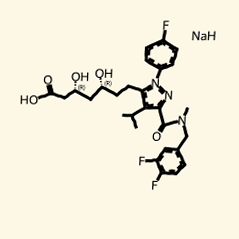 CC(C)c1c(C(=O)N(C)Cc2ccc(F)c(F)c2)nn(-c2ccc(F)cc2)c1CC[C@@H](O)C[C@@H](O)CC(=O)O.[NaH]